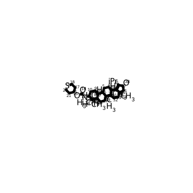 CC(C)C1=C2[C@H]3CC[C@@H]4[C@@]5(C)CCC(NC(=O)OC6CCSCC6)C(C)(C)[C@@H]5CC[C@@]4(C)[C@]3(C)CC[C@@]2(C)CC1=O